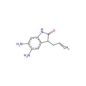 C=CCC1C(=O)Nc2cc(N)c(N)cc21